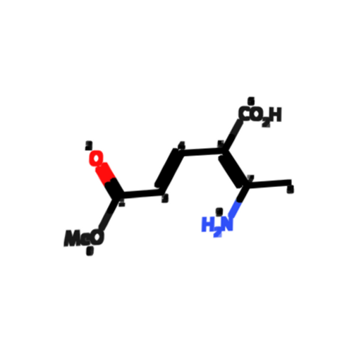 COC(=O)C=CC(C(=O)O)=C(C)N